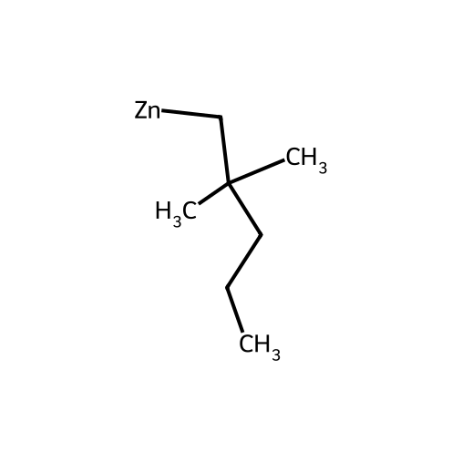 CCCC(C)(C)[CH2][Zn]